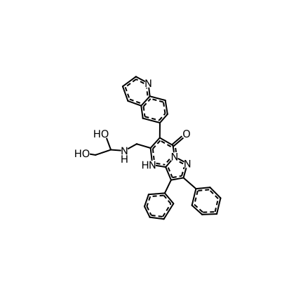 O=c1c(-c2ccc3ncccc3c2)c(CNC(O)CO)[nH]c2c(-c3ccccc3)c(-c3ccccc3)nn12